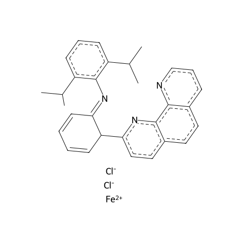 CC(C)c1cccc(C(C)C)c1N=C1C=CC=CC1c1ccc2ccc3cccnc3c2n1.[Cl-].[Cl-].[Fe+2]